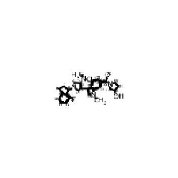 CN(C)[C@H]1CN(C2CCc3cccc(F)c32)C[C@@H]1c1cn(C)c2cc(C(=O)N3CC[C@@H](O)C3)ccc12